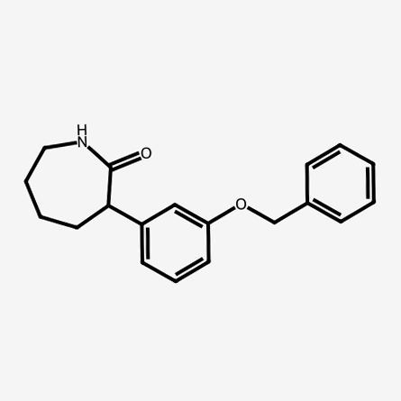 O=C1NCCCCC1c1cccc(OCc2ccccc2)c1